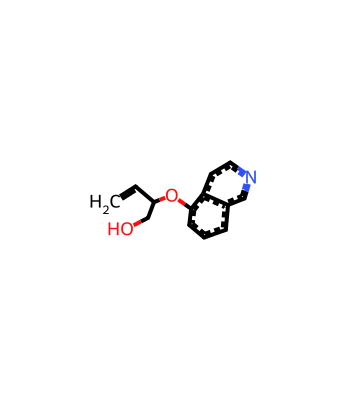 C=CC(CO)Oc1cccc2cnccc12